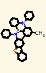 Cc1cc2c3c(c1)N(c1ccccc1)c1ccccc1B3N(c1ccccc1)c1cc3sc4ccccc4c3cc1-2